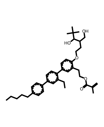 C=C(C)C(=O)OCCc1cc(-c2ccc(-c3ccc(CCCCC)cc3)cc2CC)ccc1OCCC(CO)C(O)C(C)(C)C